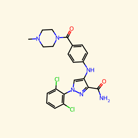 CN1CCN(C(=O)c2ccc(Nc3cn(-c4c(Cl)cccc4Cl)nc3C(N)=O)cc2)CC1